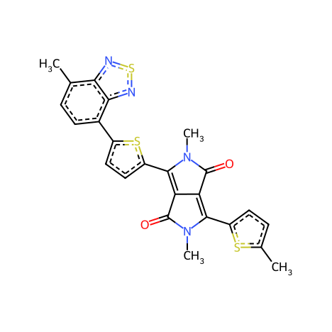 Cc1ccc(C2=C3C(=O)N(C)C(c4ccc(-c5ccc(C)c6nsnc56)s4)=C3C(=O)N2C)s1